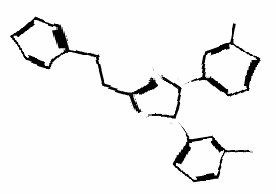 Fc1cccc([C@H]2NC(CCc3ccccc3)=N[C@H]2c2cccc(F)c2)c1